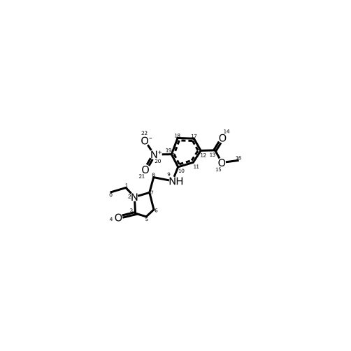 CCN1C(=O)CCC1CNc1cc(C(=O)OC)ccc1[N+](=O)[O-]